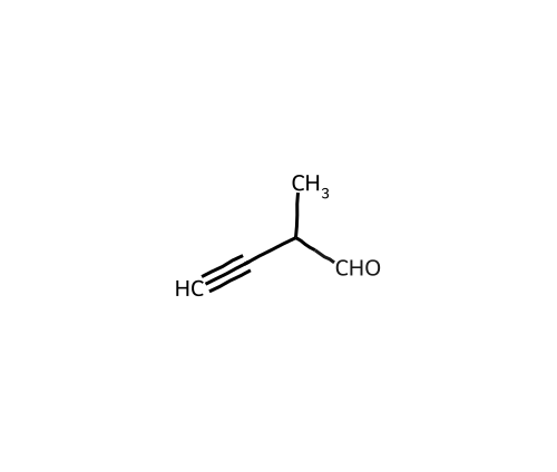 C#CC(C)C=O